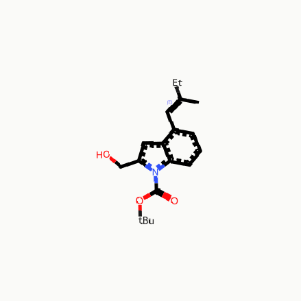 CC/C(C)=C/c1cccc2c1cc(CO)n2C(=O)OC(C)(C)C